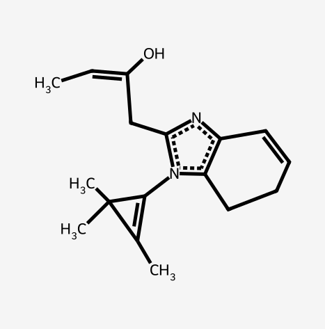 C/C=C(/O)Cc1nc2c(n1C1=C(C)C1(C)C)CCC=C2